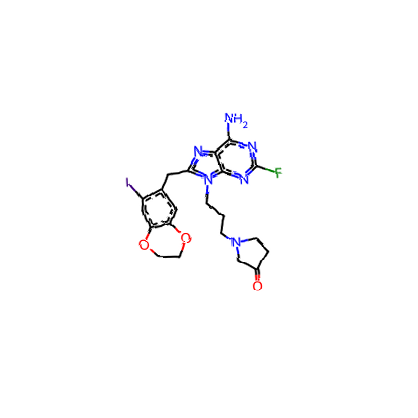 Nc1nc(F)nc2c1nc(Cc1cc3c(cc1I)OCCO3)n2CCCN1CCC(=O)C1